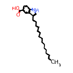 CCCCCCCCCCCCCCCCC1CNc2ccc(C(=O)O)cc21